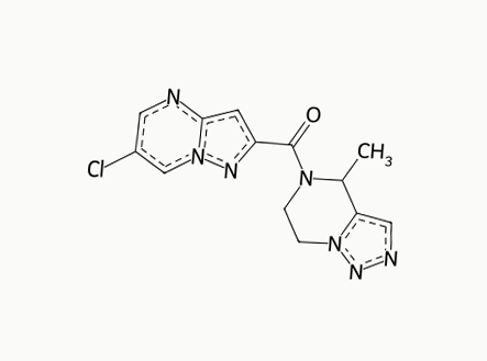 CC1c2cnnn2CCN1C(=O)c1cc2ncc(Cl)cn2n1